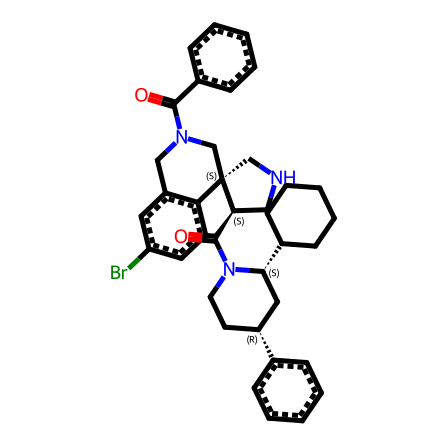 O=C(c1ccccc1)N1Cc2cc(Br)ccc2[C@@]2(CNC[C@H]2C(=O)N2CC[C@@H](c3ccccc3)C[C@H]2C2CCCCC2)C1